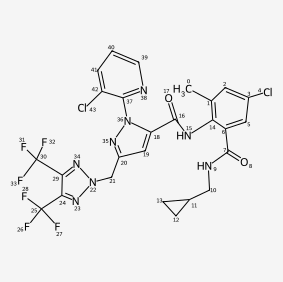 Cc1cc(Cl)cc(C(=O)NCC2CC2)c1NC(=O)c1cc(Cn2nc(C(F)(F)F)c(C(F)(F)F)n2)nn1-c1ncccc1Cl